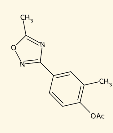 CC(=O)Oc1ccc(-c2noc(C)n2)cc1C